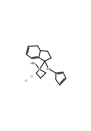 CCCC[Si]1([C]2([Zr+2][C]3=CC=CC3)CCC3CC=CC=C32)CCC1.[Cl-].[Cl-]